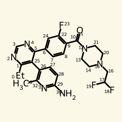 CCc1ncnc(-c2ccc(C(=O)N3CCN(CC(F)F)CC3)c(F)c2)c1-c1ccc(N)nc1C